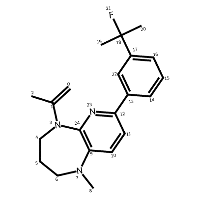 C=C(C)N1CCCN(C)c2ccc(-c3cccc(C(C)(C)F)c3)nc21